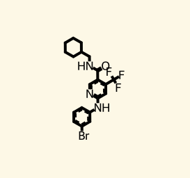 O=C(NCC1CCCCC1)c1cnc(Nc2cccc(Br)c2)cc1C(F)(F)F